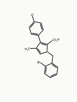 Cc1cn(Cc2ccccc2Br)c(C(=O)O)c1-c1ccc(Cl)cc1